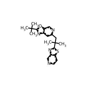 CC(C)(C)c1nc2cc(CC(C)(C)c3nc4cnccc4s3)ncc2o1